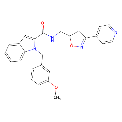 COc1cccc(Cn2c(C(=O)NCC3CC(c4ccncc4)=NO3)cc3ccccc32)c1